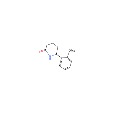 COc1ccccc1C1CCCC(=O)N1